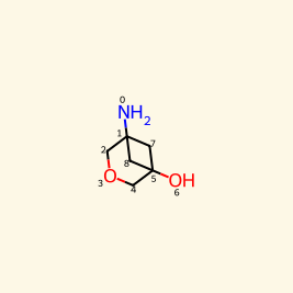 NC12COCC(O)(C1)C2